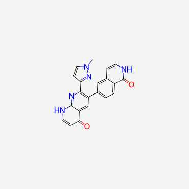 Cn1ccc(-c2nc3[nH]ccc(=O)c3cc2-c2ccc3c(=O)[nH]ccc3c2)n1